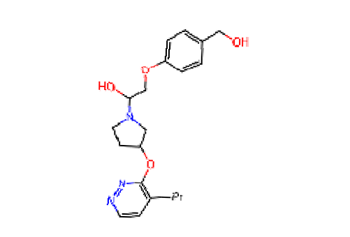 CC(C)c1ccnnc1OC1CCN(C(O)COc2ccc(CO)cc2)C1